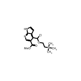 COC(=O)c1cnc2[nH]ccc2c1C(Cl)OCC[Si](C)(C)C